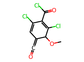 COC1C(=C=O)C=C(Cl)C(C(=O)Cl)=C1Cl